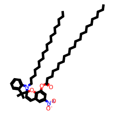 CCCCCCCCCCCCCCCCCCCCCC(=O)Oc1cc([N+](=O)[O-])cc2c1OC1(C=C2)N(CCCCCCCCCCCCCCCCCC)c2ccccc2C1(C)C